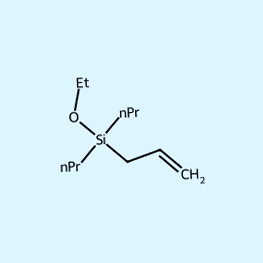 C=CC[Si](CCC)(CCC)OCC